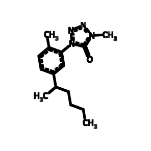 CCCCC(C)c1ccc(C)c(-n2nnn(C)c2=O)c1